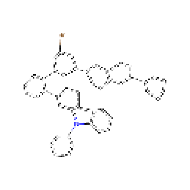 Brc1cc(-c2ccc3cc(-c4ccccc4)ccc3c2)cc(-c2ccccc2-c2ccc3c4ccccc4n(-c4ccccc4)c3c2)c1